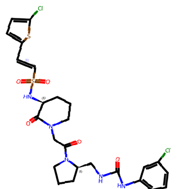 O=C(NC[C@H]1CCCN1C(=O)CN1CCC[C@H](NS(=O)(=O)/C=C/c2ccc(Cl)s2)C1=O)Nc1cccc(Cl)c1